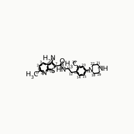 Cc1ccc2c(N)c(C(=O)NCCc3ccc(N4CCNCC4)cc3C)sc2n1